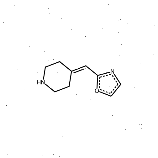 C(=C1CCNCC1)c1ncco1